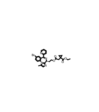 CCOC(=O)C1(CC(=O)OCC[C@@H]2N=C(c3ccccn3)c3cc(Br)ccc3-n3c(C)cnc32)CC1